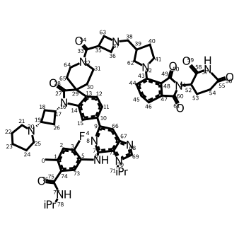 Cc1cc(F)c(Nc2nc(-c3ccc4c(c3)N([C@H]3C[C@@H](N5CCCCC5)C3)C(=O)C43CCN(C(=O)C4CN(CC5CCN(c6cccc7c6C(=O)N(C6CCC(=O)NC6=O)C7=O)C5)C4)CC3)cc3ncn(C(C)C)c23)cc1C(=O)NC(C)C